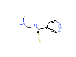 CN(C)CNC(=S)c1ccnnc1